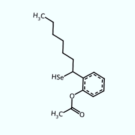 CCCCCCC([SeH])c1ccccc1OC(C)=O